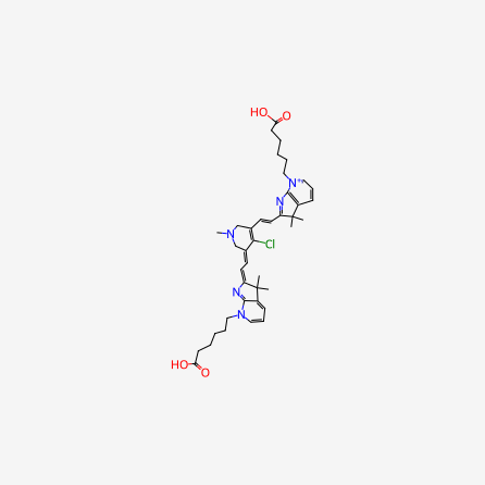 CN1CC(/C=C/C2=Nc3c(ccc[n+]3CCCCCC(=O)O)C2(C)C)=C(Cl)C(=C/C=C2/N=C3C(=CC=CN3CCCCCC(=O)O)C2(C)C)/C1